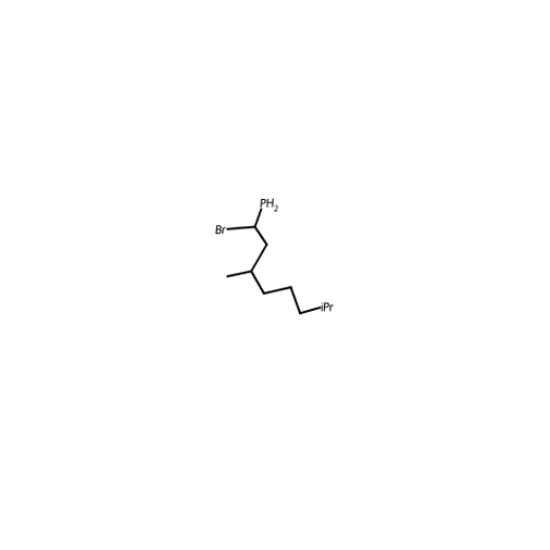 CC(C)CCCC(C)CC(P)Br